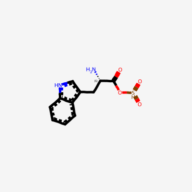 N[C@@H](Cc1c[nH]c2ccccc12)C(=O)O[SH](=O)=O